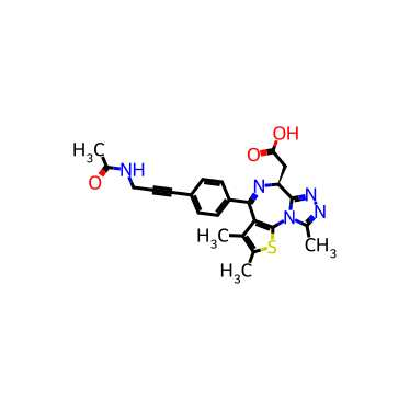 CC(=O)NCC#Cc1ccc(C2=N[C@@H](CC(=O)O)c3nnc(C)n3-c3sc(C)c(C)c32)cc1